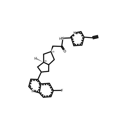 C#Cc1ccc(NC(=O)C[C@H]2CC3CC(c4ccnc5ccc(F)cc45)C[C@H]3C2)nc1